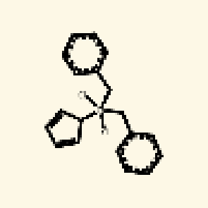 [Cl][Zr]([Cl])([CH2]c1ccccc1)([CH2]c1ccccc1)[CH]1C=CC=C1